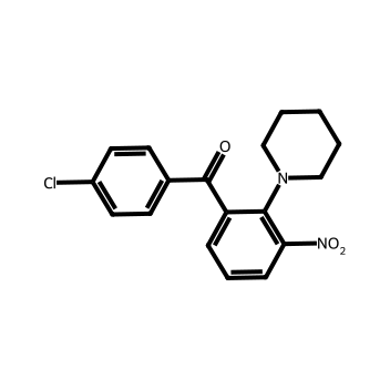 O=C(c1ccc(Cl)cc1)c1cccc([N+](=O)[O-])c1N1CCCCC1